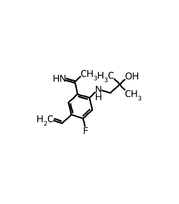 C=Cc1cc(C(C)=N)c(NCC(C)(C)O)cc1F